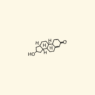 O=C1C=C2CC[C@H]3[C@@H]4CC(O)C[C@H]4CC[C@@H]3[C@H]2CC1